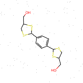 OCC1CSC(c2ccc(C3SCC(CO)S3)cc2)S1